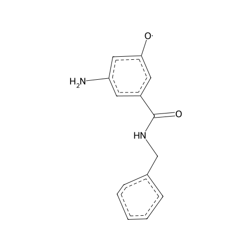 Nc1cc([O])cc(C(=O)NCc2ccccc2)c1